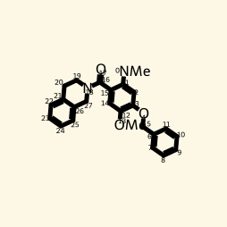 CNc1cc(OCc2ccccc2)c(OC)cc1C(=O)N1CCc2ccccc2C1